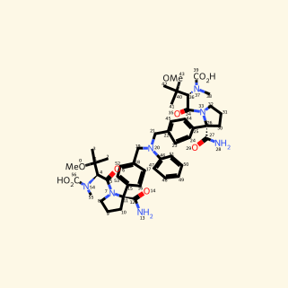 COC(C)(C)[C@@H](C(=O)N1CCC[C@@]1(C(N)=O)c1ccc(CN(Cc2ccc([C@]3(C(N)=O)CCCN3C(=O)[C@@H](N(C)C(=O)O)C(C)(C)OC)cc2)c2ccccc2)cc1)N(C)C(=O)O